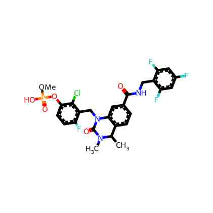 COP(=O)(O)Oc1ccc(F)c(CN2C(=O)N(C)C(C)c3ccc(C(=O)NCc4c(F)cc(F)cc4F)cc32)c1Cl